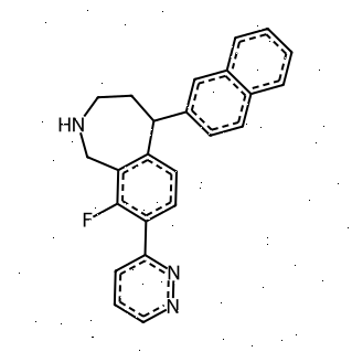 Fc1c(-c2cccnn2)ccc2c1CNCCC2c1ccc2ccccc2c1